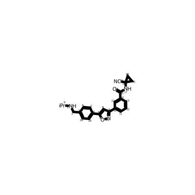 CC(C)NCc1ccc(-c2cc(-c3cccc(C(=O)NC4(C#N)CC4)c3)no2)cc1